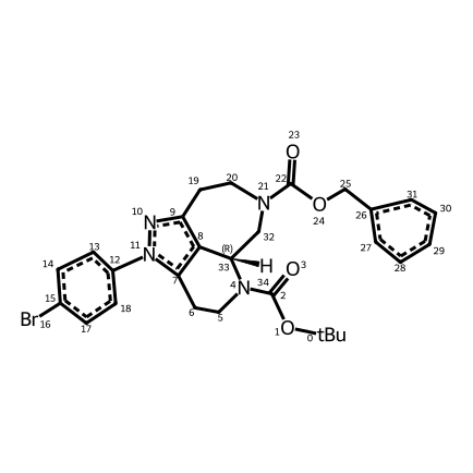 CC(C)(C)OC(=O)N1CCc2c3c(nn2-c2ccc(Br)cc2)CCN(C(=O)OCc2ccccc2)C[C@@H]31